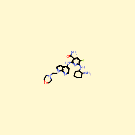 NC(=O)c1cc(F)c(NC2CCCCC2N)nc1Nc1ccnc2c1ccn2CCN1CCOCC1